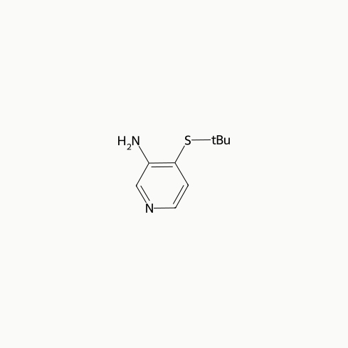 CC(C)(C)Sc1ccncc1N